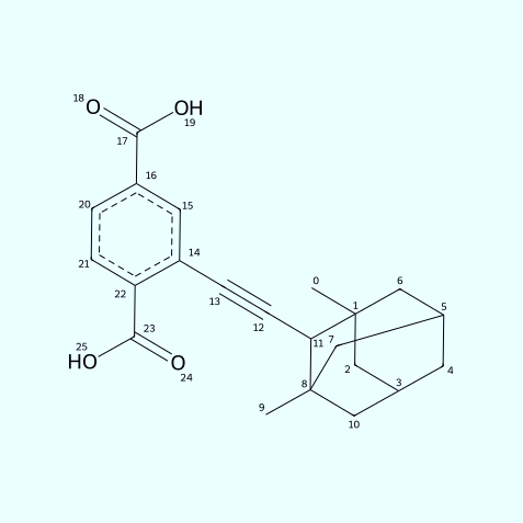 CC12CC3CC(C1)CC(C)(C3)C2C#Cc1cc(C(=O)O)ccc1C(=O)O